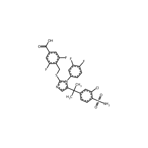 CC(C)(c1ccc(S(N)(=O)=O)c(Cl)c1)c1cnc(SCc2c(F)cc(C(=O)O)cc2F)n1-c1ccc(F)c(F)c1